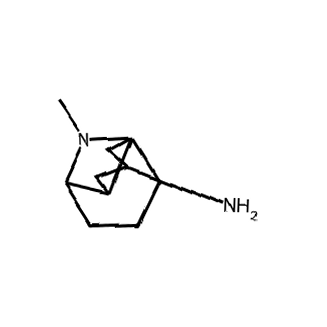 CN1C2CCCC13CC(N)CC23